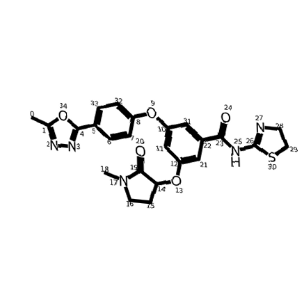 Cc1nnc(-c2ccc(Oc3cc(OC4CCN(C)C4=O)cc(C(=O)NC4=NCCS4)c3)cc2)o1